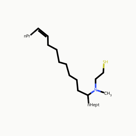 CCC/C=C\CCCCCCCC(CCCCCCC)N(C)CCS